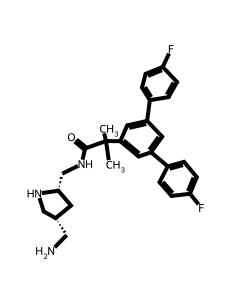 CC(C)(C(=O)NC[C@@H]1C[C@H](CN)CN1)c1cc(-c2ccc(F)cc2)cc(-c2ccc(F)cc2)c1